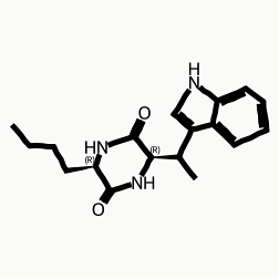 CCCC[C@H]1NC(=O)[C@@H](C(C)c2c[nH]c3ccccc23)NC1=O